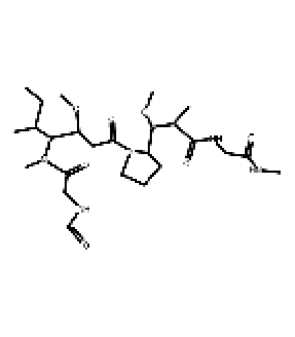 CCC(C)C(C(CC(=O)N1CCCC1C(OC)C(C)C(=O)NCC(=O)NC)OC)N(C)C(=O)CNC=O